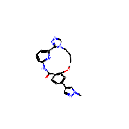 Cn1cc(-c2ccc3c(c2)OCCCCn2cnnc2-c2cccc(n2)NC3=O)cn1